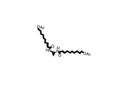 CC(=O)OCCCCCCC/C=C/C(=O)N[C@@H]1C[C@H]1NC(=O)/C=C/CCCCCCCOC(C)=O